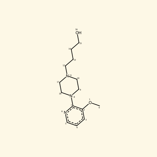 COc1cccnc1N1CCN(CCCCO)CC1